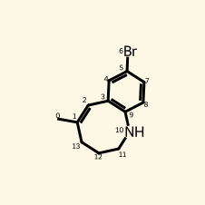 C/C1=C/c2cc(Br)ccc2NCCC1